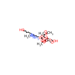 CNN(/C=C(\N)CCCO[C@H](OC(COC(=O)COCC(=O)O)[C@H](C)OC(C)=O)C(OC(C)=O)OC(C)=O)CCCCCCO